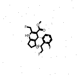 COC(=O)C1=C(CF)NC2=C(C(=O)CC2)[C@H]1c1cccc(F)c1[C@@H](F)CF